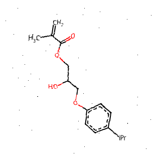 C=C(C)C(=O)OCC(O)COc1ccc(C(C)C)cc1